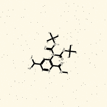 COC(=O)c1ncc(C(F)F)cc1N(C(=O)OC(C)(C)C)C(=O)OC(C)(C)C